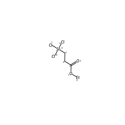 CCOC(=O)C[CH2][Sn]([Cl])([Cl])[Cl]